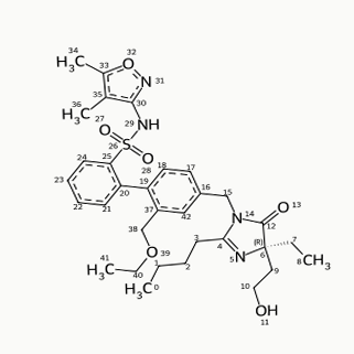 CCCCC1=N[C@](CC)(CCO)C(=O)N1Cc1ccc(-c2ccccc2S(=O)(=O)Nc2noc(C)c2C)c(COCC)c1